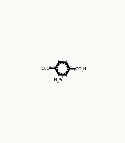 O=C(O)c1ccc(C(=O)O)cc1.[PoH2]